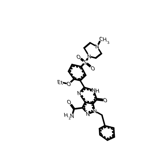 CCOc1ccc(S(=O)(=O)N2CCN(C)CC2)cc1-c1nc2c(C(N)=O)nn(Cc3ccccc3)c2c(=O)[nH]1